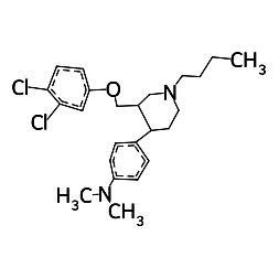 CCCCN1CCC(c2ccc(N(C)C)cc2)C(COc2ccc(Cl)c(Cl)c2)C1